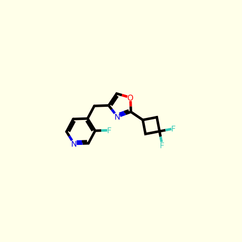 Fc1cnccc1Cc1coc(C2CC(F)(F)C2)n1